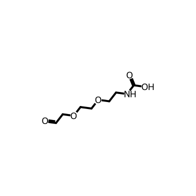 O=CCOCCOCCNC(=O)O